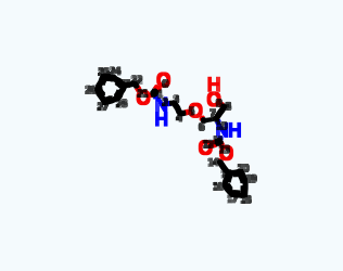 O=C(NCCOC[C@@H](CO)NC(=O)OCc1ccccc1)OCc1ccccc1